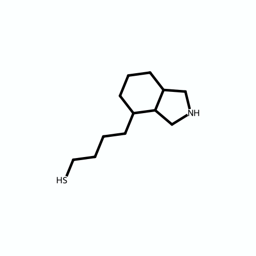 SCCCCC1CCCC2CNCC12